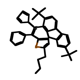 CCCCc1ccc([C](c2ccccc2)=[Hf]([c]2c(C(C)(C)C)ccc3c2Cc2cc(C(C)(C)C)ccc2-3)[CH]2C=CC=C2)s1